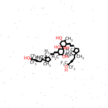 C=C1C(=CC=C[C@@H]2CC[C@](C)([C@H](C)CC#CC(O)(C(F)(F)F)C(F)(F)F)C2(C)C)C[C@](O)([C@]2(O)CC(=CC=C[C@@H]3CC[C@](C)([C@@H](C)CC#CC(O)(C(F)(F)F)C(F)(F)F)C3(C)C)C(=C)[C@@H](O)C2)C[C@@H]1O